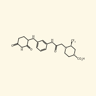 O=C1CCC(Nc2cccc(NC(=O)CN3CCN(C(=O)O)C[C@@H]3C(F)(F)F)c2)C(=O)N1